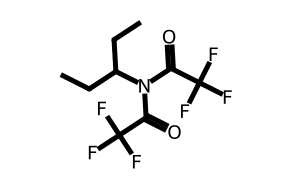 CCC(CC)N(C(=O)C(F)(F)F)C(=O)C(F)(F)F